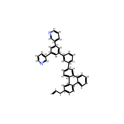 C=CCc1ccc2c3ccccc3c3cc(-c4cccc(-c5cc(-c6cccnc6)cc(-c6cccnc6)c5)c4)ccc3c2c1